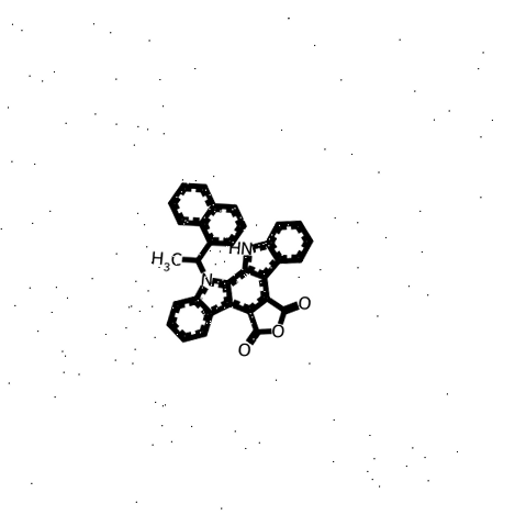 CC(c1cccc2ccccc12)n1c2ccccc2c2c3c(c4c5ccccc5[nH]c4c21)C(=O)OC3=O